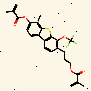 C=C(C)C(=O)OCCCc1ccc2c(sc3c(C)c(OC(=O)C(=C)C)ccc32)c1OC(F)(F)F